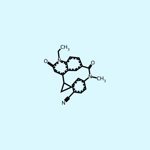 CCn1c(=O)cc(C2CC2)c2cc(C(=O)N(C)c3ccc(C#N)cc3)ccc21